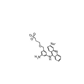 Nc1cc(COCCCS(=O)(=O)[O-])cc(Nc2c3ccccc3nc3ccccc23)c1.[Na+]